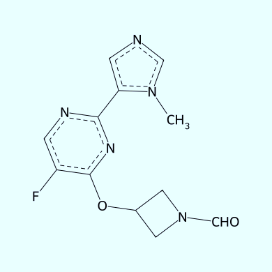 Cn1cncc1-c1ncc(F)c(OC2CN(C=O)C2)n1